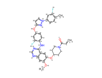 C=CC(=O)N1CCC(Oc2cc3c(Nc4ccc(Oc5ccn(-c6ccc(C)c(F)c6)n5)cc4F)ncnc3cc2OC)CC1